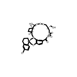 O=C1NS(=O)(=O)C[C@@H](CO)CCCC[C@H](O)[C@@H]2CC[C@H]2CN2C[C@@]3(CCCc4cc(Cl)ccc43)COc3ccc1cc32